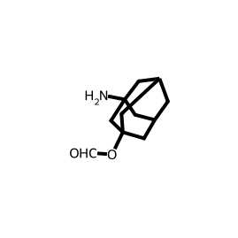 NC12CC3CC(C1)CC(OC=O)(C3)C2